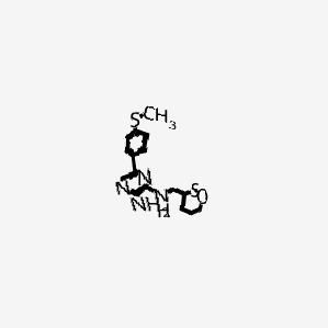 CSc1ccc(-c2cnc(N)c(NCC3CCCOS3)n2)cc1